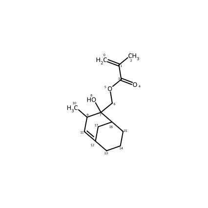 C=C(C)C(=O)OCC1(O)C(C)C=C2CCCC1C2